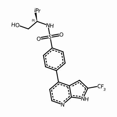 CC(C)[C@H](CO)NS(=O)(=O)c1ccc(-c2ccnc3[nH]c(C(F)(F)F)cc23)cc1